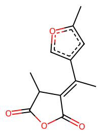 CC(=C1C(=O)OC(=O)C1C)c1coc(C)c1